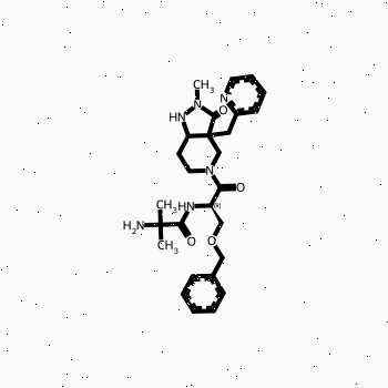 CN1NC2CCN(C(=O)[C@@H](COCc3ccccc3)NC(=O)C(C)(C)N)CC2(Cc2ccccn2)C1=O